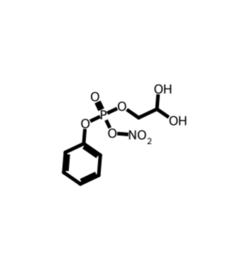 O=[N+]([O-])OP(=O)(OCC(O)O)Oc1ccccc1